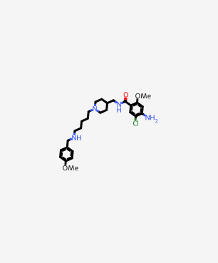 COc1ccc(CNCCCCCN2CCC(CNC(=O)c3cc(Cl)c(N)cc3OC)CC2)cc1